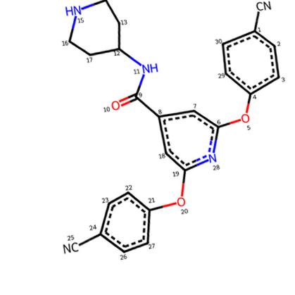 N#Cc1ccc(Oc2cc(C(=O)NC3CCNCC3)cc(Oc3ccc(C#N)cc3)n2)cc1